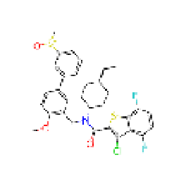 CC[C@H]1CC[C@H](N(Cc2cc(-c3cccc([S+](C)[O-])c3)ccc2OC)C(=O)c2sc3c(F)ccc(F)c3c2Cl)CC1